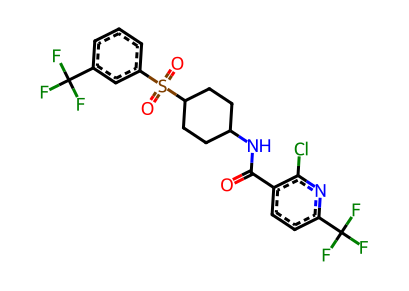 O=C(NC1CCC(S(=O)(=O)c2cccc(C(F)(F)F)c2)CC1)c1ccc(C(F)(F)F)nc1Cl